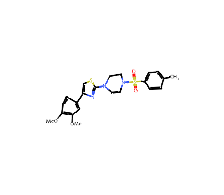 COc1ccc(-c2csc(N3CCN(S(=O)(=O)c4ccc(C)cc4)CC3)n2)cc1OC